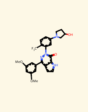 COc1cc(OC)cc(-c2nn(-c3cc(N4CCC(O)C4)ccc3C(F)(F)F)c(=O)c3[nH]ccc23)c1